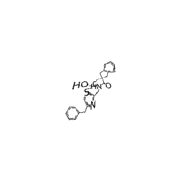 O=C(O)CC1(C(=O)NCc2nc(Cc3ccccc3)cs2)Cc2ccccc2C1